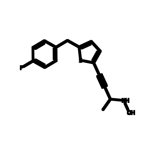 CC(C#Cc1ccc(Cc2ccc(F)cc2)s1)NO